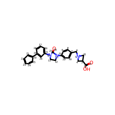 O=C(O)C1CN(Cc2ccc(N3CCN(c4cccc(-c5ccccc5)c4)C3=O)cc2)C1